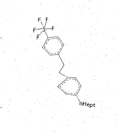 CCCCCCCc1ccc(CCc2ccc(S(F)(F)(F)(F)F)cc2)cc1